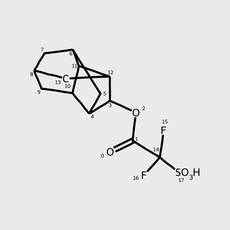 O=C(OC1C2CC3CC4CC2C3C1C4)C(F)(F)S(=O)(=O)O